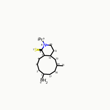 BC1CCCC2C(=S)N(C(C)C)CCC2CC(C)CC1